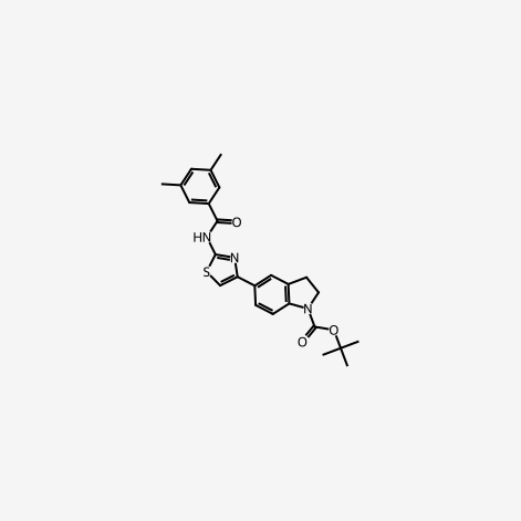 Cc1cc(C)cc(C(=O)Nc2nc(-c3ccc4c(c3)CCN4C(=O)OC(C)(C)C)cs2)c1